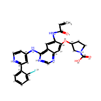 C=CC(=O)Nc1cc2c(Nc3ccnc(-c4ccccc4F)c3)ncnc2cc1OC1CCN(C(=O)O)C1